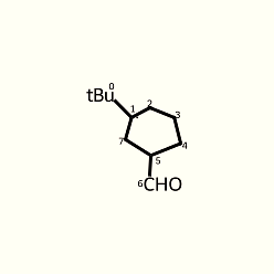 CC(C)(C)[C]1CCCC(C=O)C1